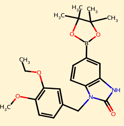 CCOc1cc(Cn2c(=O)[nH]c3cc(B4OC(C)(C)C(C)(C)O4)ccc32)ccc1OC